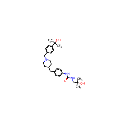 CC(C)(O)CNC(=O)Nc1ccc(CC2CCN(Cc3ccc(C(O)(C(F)(F)F)C(F)(F)F)cc3)CC2)cc1